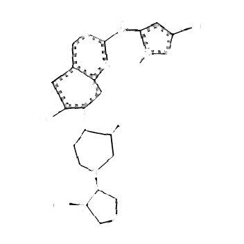 Cc1cc(Nc2ncc3cc(C)c([C@H]4CCN([C@H]5COC[C@H]5O)C[C@@H]4F)cc3n2)n(C)n1